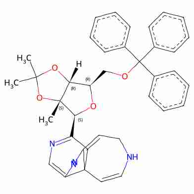 CC1(C)O[C@@H]2[C@@H](COC(c3ccccc3)(c3ccccc3)c3ccccc3)O[C@@H](C3=NC=C4N=NC5=CCNC=CC54C3)[C@]2(C)O1